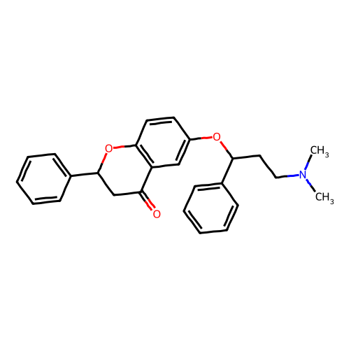 CN(C)CCC(Oc1ccc2c(c1)C(=O)CC(c1ccccc1)O2)c1ccccc1